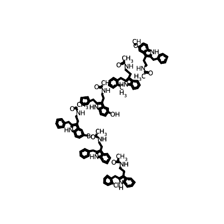 CC(=O)NCCc1c(Cc2ccccc2)[nH]c2ccc(Br)cc12.CC(=O)NCCc1c(Cc2ccccc2)[nH]c2ccc(O)cc12.CC(=O)NCCc1c(Cc2ccccc2)[nH]c2ccccc12.CC(=O)NCCc1c(Cc2ccccc2C)[nH]c2ccccc12.CC(=O)NCCc1c(Cc2ccccc2Cl)[nH]c2ccccc12.COc1ccc2[nH]c(Cc3ccccc3)c(CCNC(C)=O)c2c1